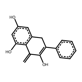 C=C1C(O)=C(c2ccccc2)Cc2cc(O)cc(O)c21